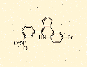 O=[N+]([O-])c1cccc(C2=C3C=CCC3c3cc(Br)ccc3N2)c1